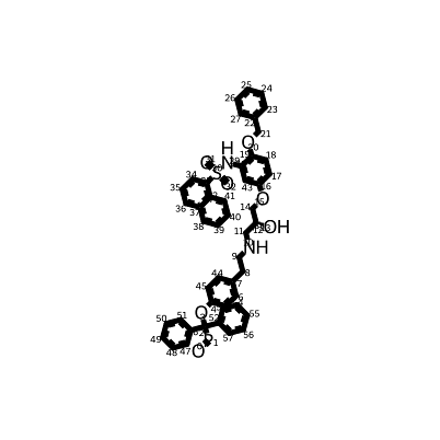 O=PC(Oc1ccc(CCNC[C@H](O)COc2ccc(OCc3ccccc3)c(NS(=O)(=O)c3cccc4ccccc34)c2)cc1)(c1ccccc1)c1ccccc1